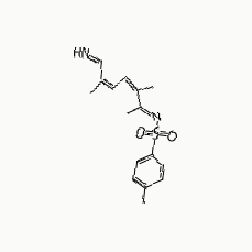 C/C(C=N)=C/C=C(C)\C(C)=N\S(=O)(=O)c1ccc(C)cc1